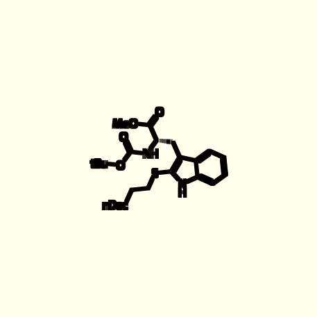 CCCCCCCCCCCCSc1[nH]c2ccccc2c1C[C@H](NC(=O)OC(C)(C)C)C(=O)OC